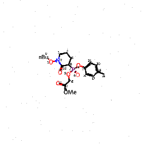 CCCCON1CCCC(P(=O)(OCC(=O)OC)Oc2ccc(C)cc2)C1=O